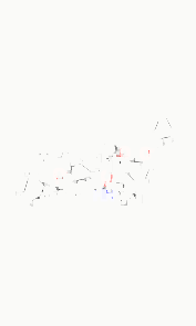 [2H]C(c1ccc(OCc2ccccc2)c(OC([2H])([2H])[2H])c1)C([2H])([2H])NC(=O)Cc1ccc(OC)c(OCc2ccccc2)c1COC(C)=O